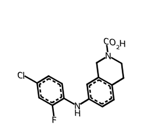 O=C(O)N1CCc2ccc(Nc3ccc(Cl)cc3F)cc2C1